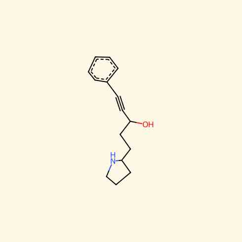 OC(C#Cc1ccccc1)CCC1CCCN1